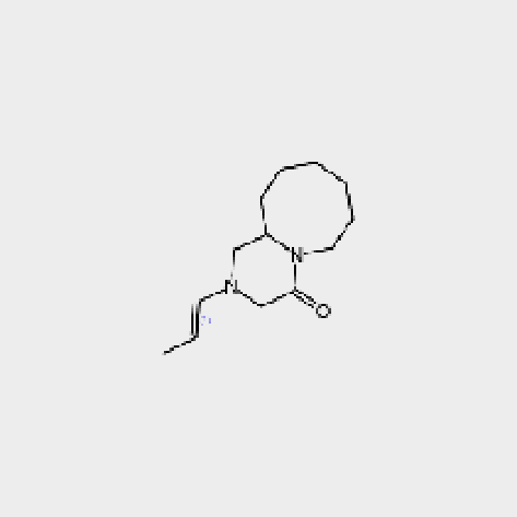 C/C=C/N1CC(=O)N2CCCCCCC2C1